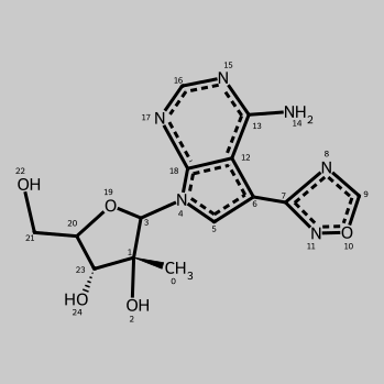 C[C@]1(O)C(n2cc(-c3ncon3)c3c(N)ncnc32)OC(CO)[C@H]1O